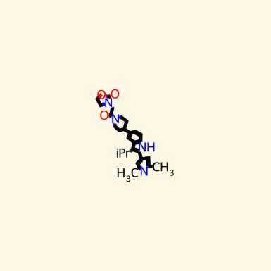 Cc1cc(-c2[nH]c3ccc(C4CCN(C(=O)CN5CCOC5=O)CC4)cc3c2C(C)C)cc(C)n1